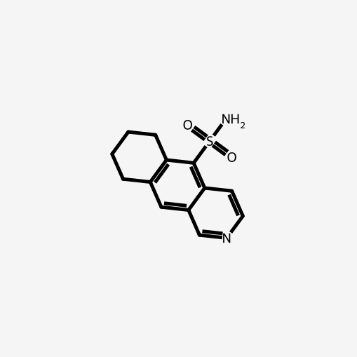 NS(=O)(=O)c1c2c(cc3cnccc13)CCCC2